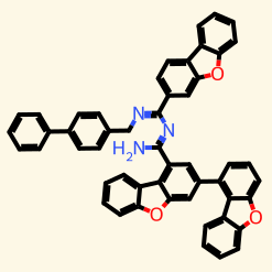 N/C(=N\C(=N/Cc1ccc(-c2ccccc2)cc1)c1ccc2c(c1)oc1ccccc12)c1cc(-c2cccc3oc4ccccc4c23)cc2oc3ccccc3c12